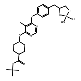 Cc1c(Oc2ccc(CC3COS(O)(O)O3)cc2)ncnc1OC1CCN(C(=O)OC(C)(C)C)CC1